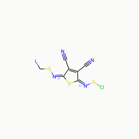 N#CC1=C(C#N)C(=N\SCI)/S/C1=N/SCl